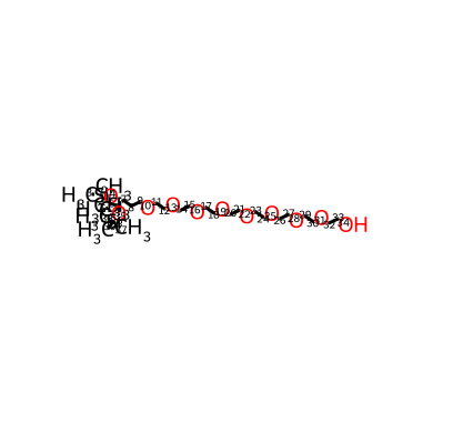 C[Si](C)(C)O[Si](C)(CCCOCCOCCOCCOCCOCCOCCOCCOCCO)O[Si](C)(C)C